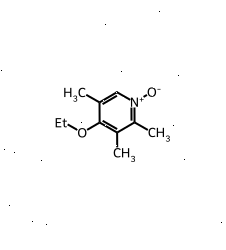 CCOc1c(C)c[n+]([O-])c(C)c1C